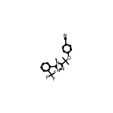 Cn1c(-c2ccccc2C(F)(F)F)nnc1C(C)(C)Oc1ccc(C#N)cc1